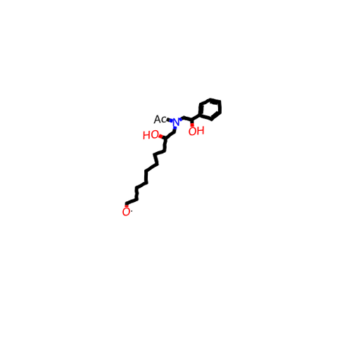 CC(=O)N(CC(O)CCCCCCCC[O])CC(O)c1ccccc1